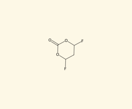 O=C1OC(F)CC(F)O1